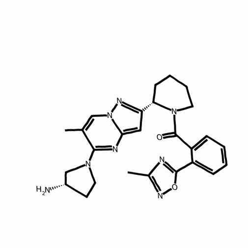 Cc1noc(-c2ccccc2C(=O)N2CCCC[C@H]2c2cc3nc(N4CC[C@H](N)C4)c(C)cn3n2)n1